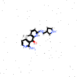 Nc1ncccc1C(=O)c1nc(NCC2CCNC2)ccc1C(F)(F)F